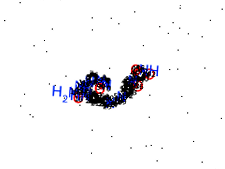 CN1CCN([C@@H]2CCCN(c3cnc(C(N)=O)c(Nc4ccc(C5CCN(CC6CN(c7ccc8c(=O)n(C9CCC(=O)NCOC9)ccc8c7)C6)CC5)cc4)n3)C2)C1=O